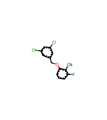 N#Cc1c(F)cccc1OCc1cc(Cl)cc(Cl)c1